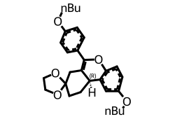 CCCCOc1ccc(C2=C3CC4(CC[C@@H]3c3cc(OCCCC)ccc3O2)OCCO4)cc1